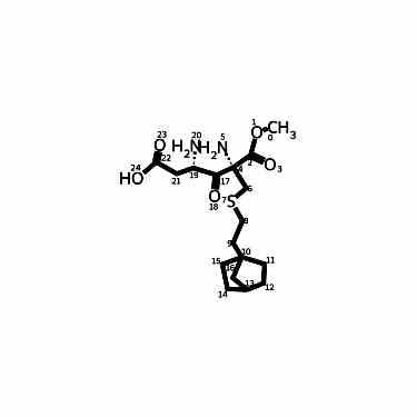 COC(=O)[C@@](N)(CSCCC12CCC(CC1)C2)C(=O)[C@@H](N)CC(=O)O